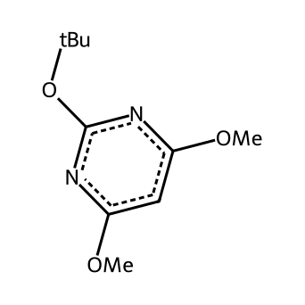 COc1cc(OC)nc(OC(C)(C)C)n1